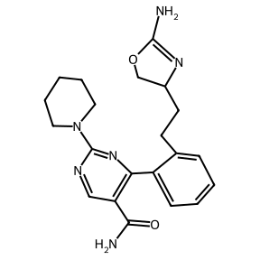 NC(=O)c1cnc(N2CCCCC2)nc1-c1ccccc1CCC1COC(N)=N1